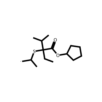 [CH2]C(C)SC(CC)(C(=O)OC1CCCC1)C(C)C